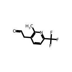 Cc1nc(C(F)(F)F)ccc1CC=O